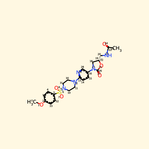 COc1ccc(S(=O)(=O)N2CCN(c3ccc(N4C[C@H](CNC(C)=O)OC4=O)cn3)CC2)cc1